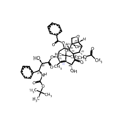 CC(=O)O[C@H]1C[C@H]2OC[C@@]2(O)[C@H]2[C@H](OC(=O)c3ccccc3)C[C@H](OC(=O)[C@H](O)[C@@H](NC(=O)OC(C)(C)C)c3ccccc3)/C(C)=C(\C(C)(C)O)[C@@H](O)C(=O)[C@]12C